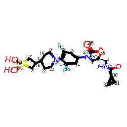 O=C(NC[C@H]1CN(c2cc(F)c(N3CCC(C4CS(O)(O)C4)CC3)c(F)c2)C(=O)O1)C1CC1